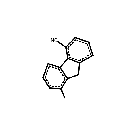 Cc1cccc2c1Cc1cccc(C#N)c1-2